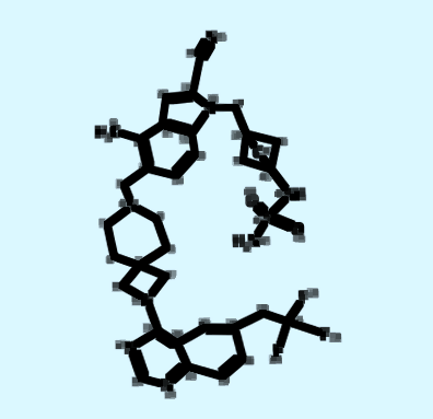 Cc1c(CN2CCC3(CC2)CN(c2ncnc4ccc(CC(F)(F)F)cc24)C3)ccc2c1cc(C#N)n2CC12CC(NS(N)(=O)=O)(C1)C2